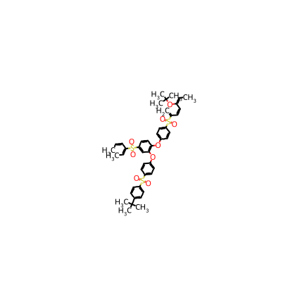 C=C(/C=C\C(=C/C)OC(C)(C)C)S(=O)(=O)c1ccc(Oc2ccc(S(=O)(=O)C(/C=C\C)=C/C)cc2Oc2ccc(S(=O)(=O)c3ccc(C(C)(C)C)cc3)cc2)cc1